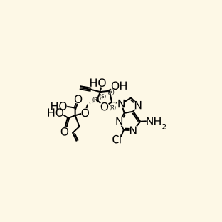 C#C[C@@]1(O)[C@@H](COC(CC=C)(C(=O)O)C(=O)O)O[C@@H](n2cnc3c(N)nc(Cl)nc32)[C@@H]1O